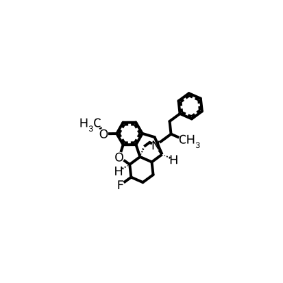 COc1ccc2c3c1O[C@@H]1C(F)CCC4[C@H](C2)N(C(C)Cc2ccccc2)CC[C@]341